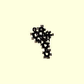 CC(C)(C)[Si](C)(C)OC1CCCC1n1c(=O)ccc2cnc(Nc3ccc(N4CCCCC4)cc3)nc21